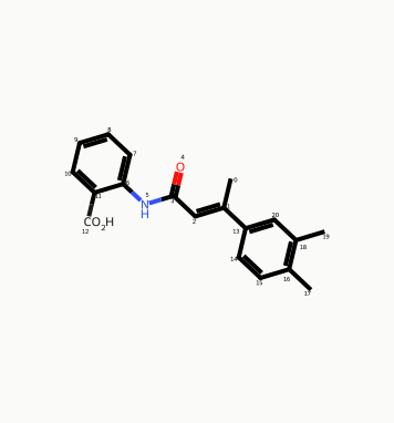 C/C(=C\C(=O)Nc1ccccc1C(=O)O)c1ccc(C)c(C)c1